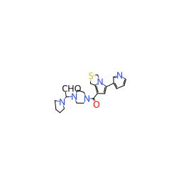 O=CC(N1CCCC1)N1CCN(C(=O)c2cc(-c3cccnc3)n3c2CSC3)CC1